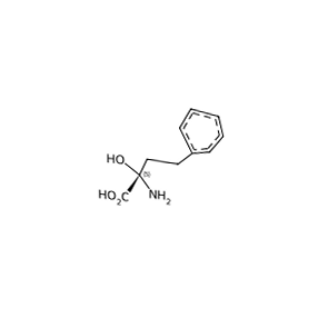 N[C@](O)(CCc1ccccc1)C(=O)O